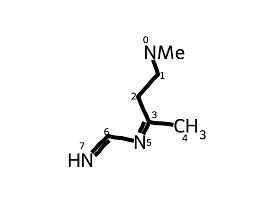 CNCC/C(C)=N\C=N